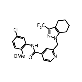 COc1ccc(Cl)cc1NC(=O)c1ccnc(Cn2nc(C(F)(F)F)c3c2CCCC3)c1